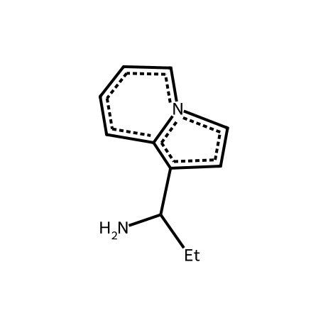 CCC(N)c1ccn2ccccc12